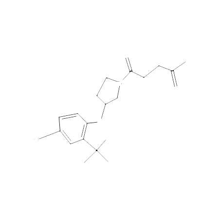 C=C(C)CCC(=C)N1CCC(Oc2ccc(Cl)cc2C(C)(C)C)C1